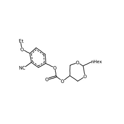 CCCCCCC1OCC(OC(=O)Oc2ccc(OCC)c(C#N)c2)CO1